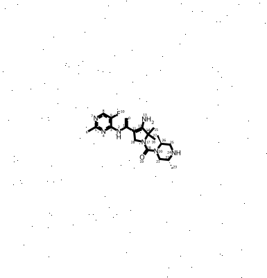 C=C(Nc1nc(C)ncc1F)C1=C(N)C(C)(C)N(C(=O)N2C[C@@H](C)NC[C@@H]2C)C1